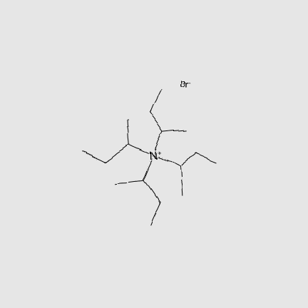 CCC(C)[N+](C(C)CC)(C(C)CC)C(C)CC.[Br-]